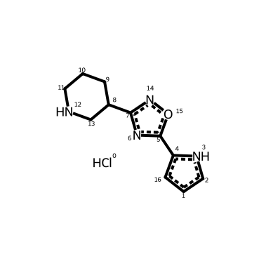 Cl.c1c[nH]c(-c2nc(C3CCCNC3)no2)c1